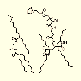 CCCCCCCCC(CCCCCC)(CC(COC(=O)CCNC(=O)[C@H](O)C(C)(C)COC(=O)CCN1CCCC1)C(CCCCCC)(CCCCCCCC)C(=O)O)C(=O)O.CCCCCCCCC(CCCCCC)C(=O)OCC(C)OC(=O)C(CCCCCC)CCCCCCCC